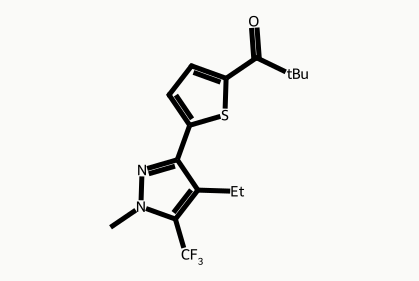 CCc1c(-c2ccc(C(=O)C(C)(C)C)s2)nn(C)c1C(F)(F)F